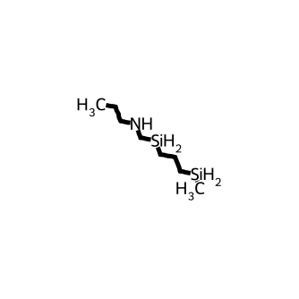 CCCNC[SiH2]CCC[SiH2]C